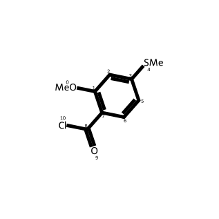 COc1cc(SC)ccc1C(=O)Cl